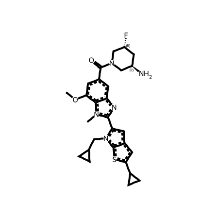 COc1cc(C(=O)N2C[C@H](N)C[C@@H](F)C2)cc2nc(-c3cc4cc(C5CC5)sc4n3CC3CC3)n(C)c12